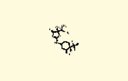 C=C1CC(NC2=NC(=O)C(C)(C(C)C)S2)CCC1(O)C(F)(F)F